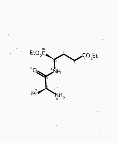 CCOC(=O)CC[C@@H](NC(=O)[C@@H](N)C(C)C)C(=O)OCC